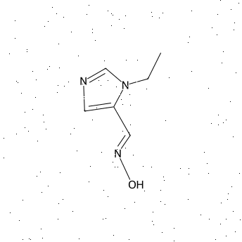 CCn1cncc1C=NO